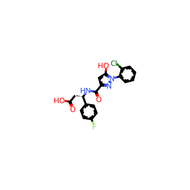 O=C(O)C[C@H](NC(=O)c1cc(O)n(-c2ccccc2Cl)n1)c1ccc(F)cc1